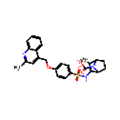 Cc1cc(COc2ccc(S(=O)(=O)NC3C(C(=O)O)C4CCC3N4C(=O)OC(C)(C)C)cc2)c2ccccc2n1